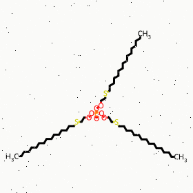 CCCCCCCCCCCCCCCCSCCOOP(=O)(OOCCSCCCCCCCCCCCCCCCC)OOCCSCCCCCCCCCCCCCCCC